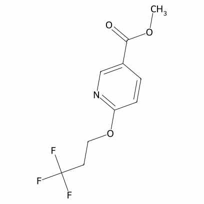 COC(=O)c1ccc(OCCC(F)(F)F)nc1